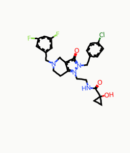 O=C(NCCn1c2c(c(=O)n1Cc1ccc(Cl)cc1)CN(Cc1cc(F)cc(F)c1)CC2)C1(O)CC1